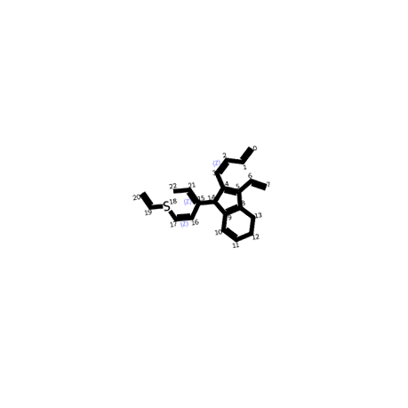 C=C/C=C\C1=C(C=C)C2=C(C=CCC2)C1C(/C=C\SC=C)=C/C